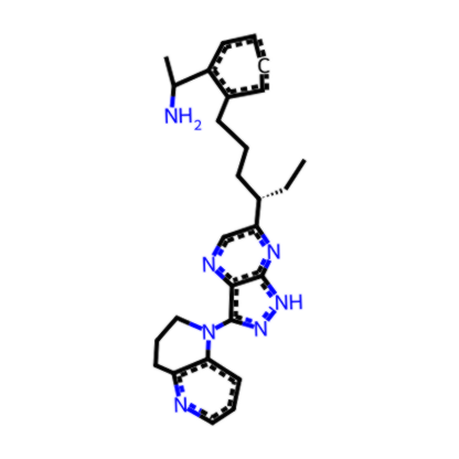 CC[C@@H](CCCc1ccccc1C(C)N)c1cnc2c(N3CCCc4ncccc43)n[nH]c2n1